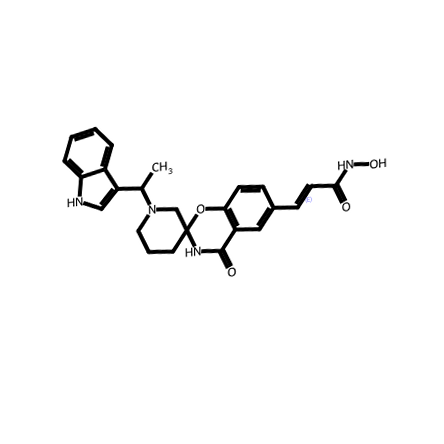 CC(c1c[nH]c2ccccc12)N1CCCC2(C1)NC(=O)c1cc(/C=C/C(=O)NO)ccc1O2